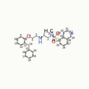 CN(CCNCCOc1ccccc1Cc1ccccc1)S(=O)(=O)c1cccc2cnccc12